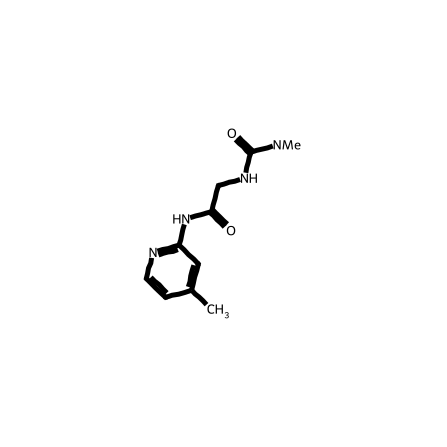 CNC(=O)NCC(=O)Nc1cc(C)ccn1